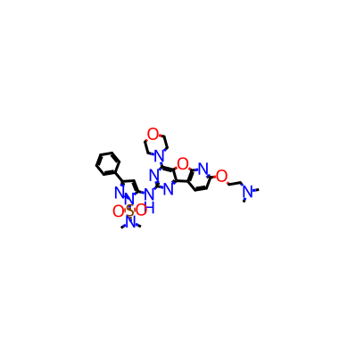 CN(C)CCOc1ccc2c(n1)oc1c(N3CCOCC3)nc(Nc3cc(-c4ccccc4)nn3S(=O)(=O)N(C)C)nc12